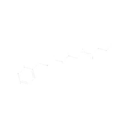 C=CC[SiH2]OCCCOCCc1ccccc1